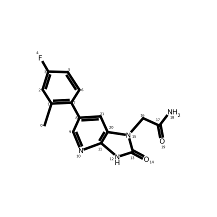 Cc1cc(F)ccc1-c1cnc2[nH]c(=O)n(CC(N)=O)c2c1